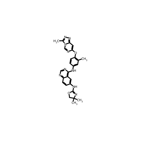 Cc1cc(Nc2ncnc3ccc(NC4=NC(C)(C)CO4)cc23)ccc1Oc1cc2nnc(C)n2cn1